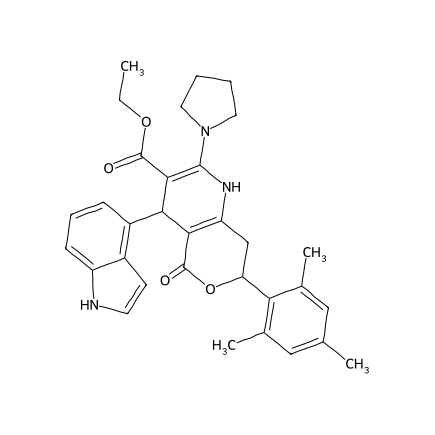 CCOC(=O)C1=C(N2CCCC2)NC2=C(C(=O)OC(c3c(C)cc(C)cc3C)C2)C1c1cccc2[nH]ccc12